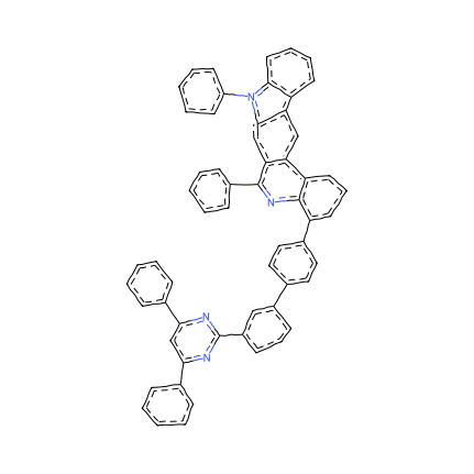 c1ccc(-c2cc(-c3ccccc3)nc(-c3cccc(-c4ccc(-c5cccc6c5nc(-c5ccccc5)c5cc7c(cc56)c5ccccc5n7-c5ccccc5)cc4)c3)n2)cc1